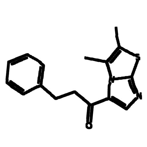 Cc1sc2ncc(C(=O)CCc3ccccc3)n2c1C